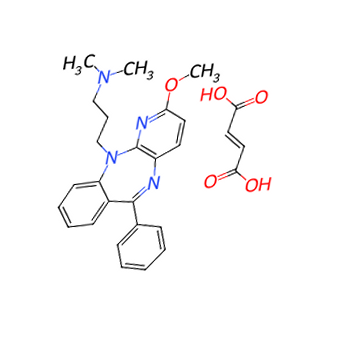 COc1ccc2c(n1)N(CCCN(C)C)c1ccccc1C(c1ccccc1)=N2.O=C(O)C=CC(=O)O